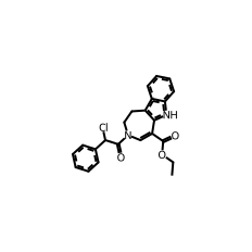 CCOC(=O)C1=CN(C(=O)C(Cl)c2ccccc2)CCc2c1[nH]c1ccccc21